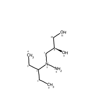 CCC(CC)N(N)C[C@H](O)CO